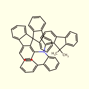 CC1(C)c2ccccc2-c2cccc(N(c3ccccc3-c3ccccc3)c3cccc4c3C3(c5ccccc5-c5ccccc53)c3ccccc3-4)c21